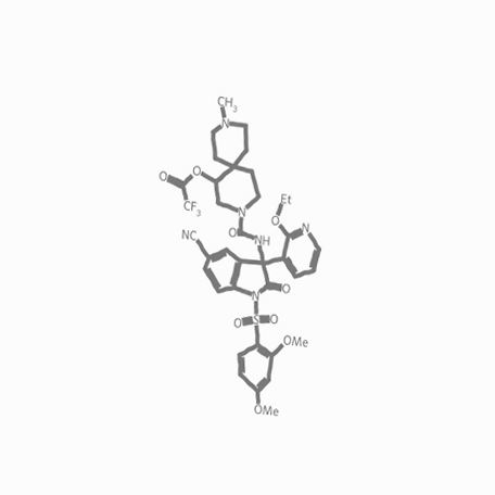 CCOc1ncccc1C1(NC(=O)N2CCC3(CCN(C)CC3)C(OC(=O)C(F)(F)F)C2)C(=O)N(S(=O)(=O)c2ccc(OC)cc2OC)c2ccc(C#N)cc21